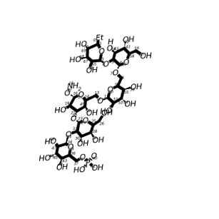 CCC1O[C@@H](OC2[C@@H](OCC3O[C@H](OCC4O[C@@H](ON)C(O)[C@@H](O[C@@H]5OC(CO)[C@@H](O)[C@H](O)C5O[C@H]5OC(COP(=O)(O)O)[C@@H](O)[C@H](O)C5O)[C@@H]4O)C(O)[C@@H](O)[C@@H]3O)OC(CO)[C@@H](O)[C@@H]2O)C(O)[C@@H](O)[C@@H]1O